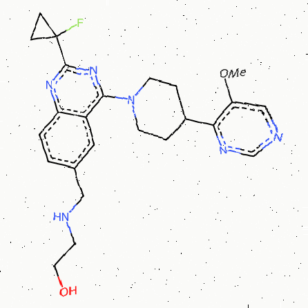 COc1cncnc1C1CCN(c2nc(C3(F)CC3)nc3ccc(CNCCO)cc23)CC1